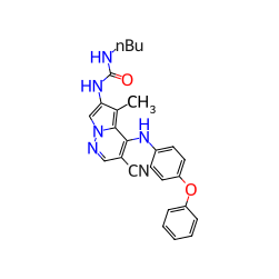 CCCCNC(=O)Nc1cn2ncc(C#N)c(Nc3ccc(Oc4ccccc4)cc3)c2c1C